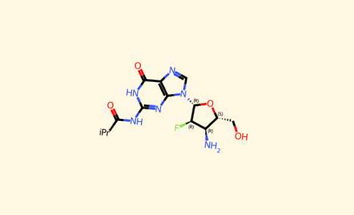 CC(C)C(=O)Nc1nc2c(ncn2[C@@H]2O[C@H](CO)[C@@H](N)[C@H]2F)c(=O)[nH]1